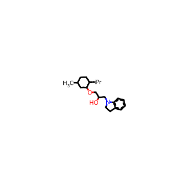 CC1CCC(C(C)C)C(OCC(O)CN2CCc3ccccc32)C1